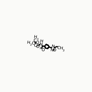 CCc1nc(-c2ccc3c(c2)OC[C@H]3NC(=O)OC(C)(C)C)no1